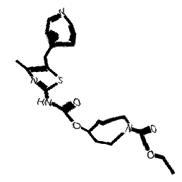 CCOC(=O)N1CCC(OC(=O)Nc2nc(C)c(-c3ccncc3)s2)CC1